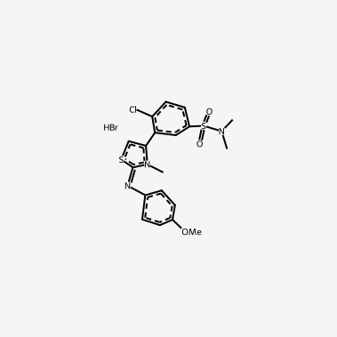 Br.COc1ccc(/N=c2/scc(-c3cc(S(=O)(=O)N(C)C)ccc3Cl)n2C)cc1